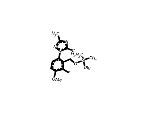 COc1ccc(-n2nc(C)nc2C)c(CO[Si](C)(C)C(C)(C)C)c1F